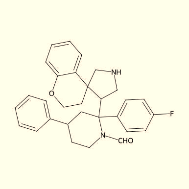 O=CN1CCC(c2ccccc2)CC1(c1ccc(F)cc1)C1CNCC12CCOc1ccccc12